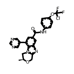 C[C@H]1Cn2c(nc3cc(C(=O)Nc4ccc(OC(F)(F)Cl)cc4)cc(-c4cncnc4)c32)CO1